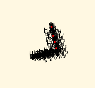 Cc1cc(C(C)(C)C)[se][c+](C(C)(C)C)c1.Cc1cc(C(C)(C)C)[se][c+](C(C)(C)C)c1.Cc1cc(C(C)(C)C)[se][c+](C(C)(C)C)c1.Cc1cc(C(C)(C)C)[se][c+](C(C)(C)C)c1.Cc1cc(C(C)(C)C)[se][c+](C(C)(C)C)c1.Cc1cc(C(C)(C)C)[se][c+](C(C)(C)C)c1.Cc1cc(C(C)(C)C)[se][c+](C(C)(C)C)c1.Cc1cc(C(C)(C)C)[se][c+](C(C)(C)C)c1.[O-]B([O-])F.[O-]B([O-])F.[O-]B([O-])F.[O-]B([O-])F